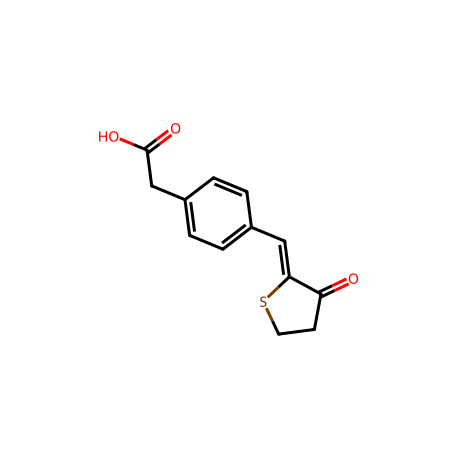 O=C(O)Cc1ccc(/C=C2\SCCC2=O)cc1